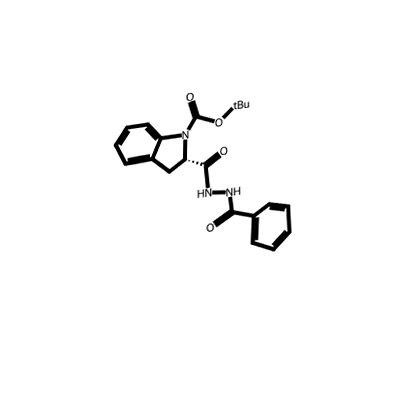 CC(C)(C)OC(=O)N1c2ccccc2C[C@H]1C(=O)NNC(=O)c1ccccc1